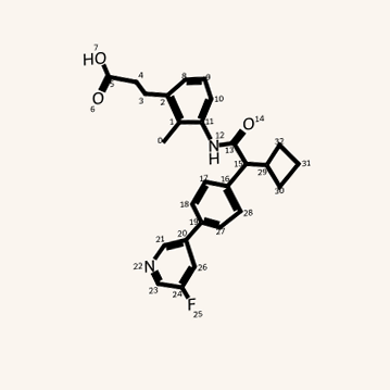 Cc1c(CCC(=O)O)cccc1NC(=O)C(c1ccc(-c2cncc(F)c2)cc1)C1CCC1